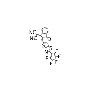 N#CC(C#N)=C1/C(=C/c2cc3sc(-c4c(F)c(F)c(F)c(F)c4F)nc3s2)C(=O)c2ccccc21